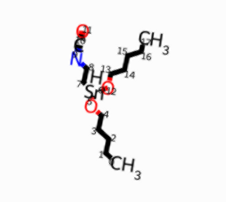 CCCCC[O][SnH]([CH2]CN=C=O)[O]CCCCC